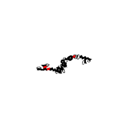 O=C(Oc1cccc2c(OC(=O)c3ccc(OCCCCCCC(CC4CO4)C4CO4)cc3)cccc12)c1ccc(OCCCCCCC(CC2CO2)C2CO2)cc1